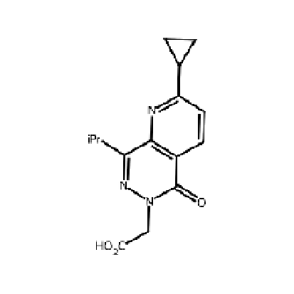 CC(C)c1nn(CC(=O)O)c(=O)c2ccc(C3CC3)nc12